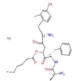 CCCCCC(=O)OC(CC(=O)[C@@H](N)Cc1ccc(O)cc1C)C(=O)[C@H](Cc1ccccc1)NC(=O)[C@H](C)N.Cl